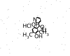 CCOC(c1cccnc1)c1c(O)cc(C)c(O)c1C.Cl